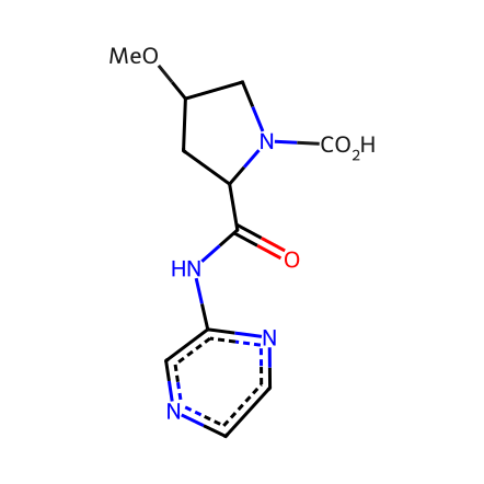 COC1CC(C(=O)Nc2cnccn2)N(C(=O)O)C1